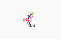 CC(C)(C)c1ccc(NC(=O)C2(O)CCN(S(=O)(=O)c3cc(F)ccc3F)CC2)cc1